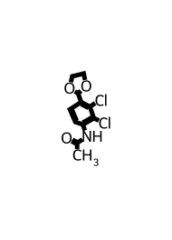 CC(=O)Nc1ccc(C2OCCO2)c(Cl)c1Cl